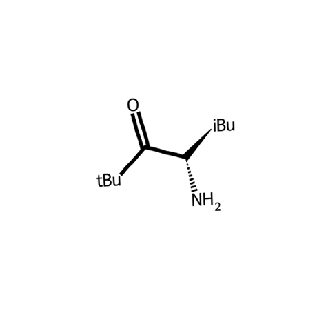 CC[C@H](C)[C@H](N)C(=O)C(C)(C)C